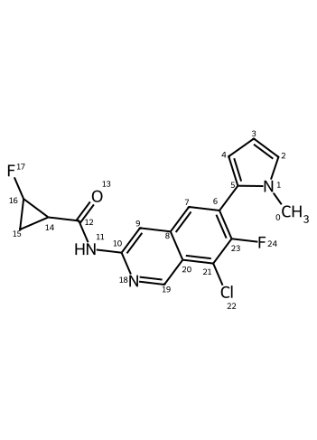 Cn1cccc1-c1cc2cc(NC(=O)C3CC3F)ncc2c(Cl)c1F